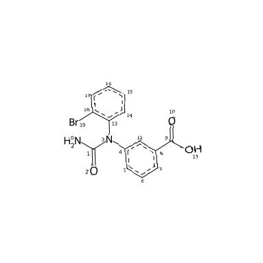 NC(=O)N(c1cccc(C(=O)O)c1)c1ccccc1Br